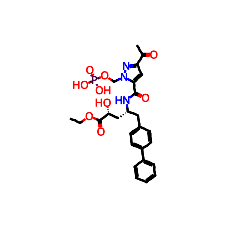 CCOC(=O)[C@H](O)C[C@@H](Cc1ccc(-c2ccccc2)cc1)NC(=O)c1cc(C(C)=O)nn1COP(=O)(O)O